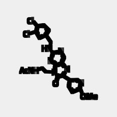 COc1ccc(-c2nc3cnc(NCc4ccc(Cl)c(Cl)c4)nc3n(CCNC(C)=O)c2=O)cn1